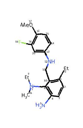 CCc1ccc(N)c(N(C)CC)c1CNc1ccc(OC)c(F)c1